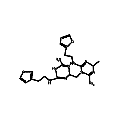 CC1N=C(N)N(CC2N=C(N)NC(NCCc3ccoc3)=N2)C(NCCc2ccco2)=N1